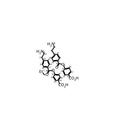 CCC.NCCc1ccc(C(=O)Oc2ccc(C(=O)O)cc2)cc1.NCCc1ccc(C(=O)Oc2ccc(C(=O)O)cc2)cc1